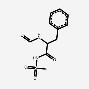 O=CNC(Cc1ccccc1)C(=O)NS(=O)(=O)I